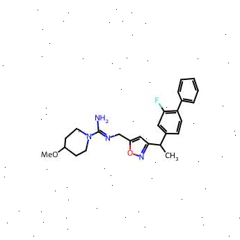 COC1CCN(/C(N)=N/Cc2cc(C(C)c3ccc(-c4ccccc4)c(F)c3)no2)CC1